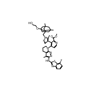 COC(=O)c1nccc(N2CCCc3c2nnc(Nc2nc4cccc(F)c4s2)c3C)c1-c1cnn(CC23CC4(C)CC(C)(C2)CC(OCCO)(C4)C3)c1C